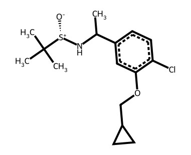 CC(N[S@@+]([O-])C(C)(C)C)c1ccc(Cl)c(OCC2CC2)c1